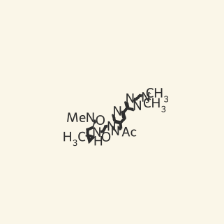 CNC(=O)[C@@H]1C[C@@]2(C)C[C@H]2N1C(=O)Cn1nc(C(C)=O)c2cc(-c3cnc(CN(C)C)nc3)ncc21